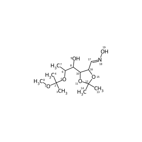 COC(C)(C)OC(C)C(O)C1OC(C)(C)OC1/C=N/O